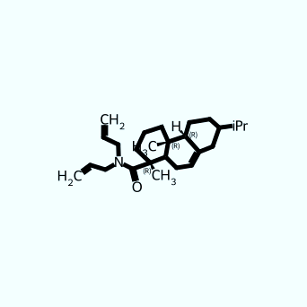 C=CCN(CC=C)C(=O)[C@]1(C)CCC[C@@]2(C)C1CC=C1CC(C(C)C)CC[C@@H]12